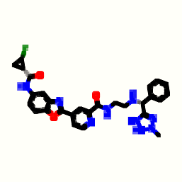 CN1N=C([C@H](NCCNC(=O)c2cc(-c3nc4cc(NC(=O)[C@@H]5C[C@H]5F)ccc4o3)ccn2)c2ccccc2)NN1